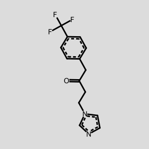 O=C(CCn1ccnc1)Cc1ccc(C(F)(F)F)cc1